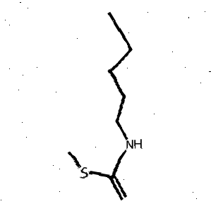 C=C(NCCCCC)SC